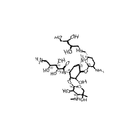 CN[C@@H]1C(O)[C@@H](OC2C(O)C(O[C@H]3O[C@H](CNCC(O)C(O)CO)CCC3N)[C@@H](N)C[C@H]2NC(=O)[C@@H](O)[C@@H](O)[C@@H](O)CN)OCC1(C)O